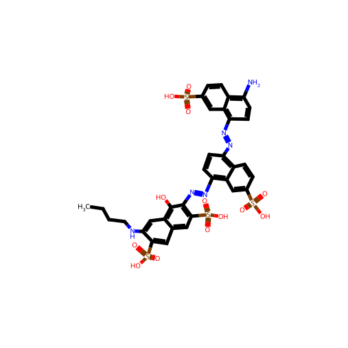 CCCCNc1cc2c(O)c(/N=N/c3ccc(/N=N/c4ccc(N)c5ccc(S(=O)(=O)O)cc45)c4ccc(S(=O)(=O)O)cc34)c(S(=O)(=O)O)cc2cc1S(=O)(=O)O